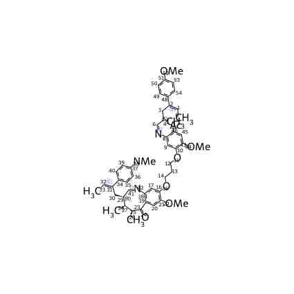 C/C=C(\C[C@H](C)/C=N\c1cc(OCCCOc2cc3c(cc2OC)C(=O)C(C)C(C)[C@@H](C/C(=C\C)c2ccc(NC)cc2)/C=N\3)c(OC)cc1C(C)=O)c1ccc(OC)cc1